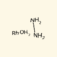 NN.O.[Rh]